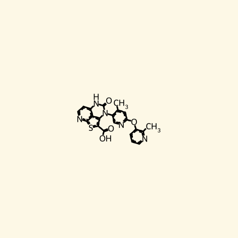 Cc1cc(Oc2cccnc2C)ncc1N1C(=O)Nc2ccnc3sc(C(=O)O)c1c23